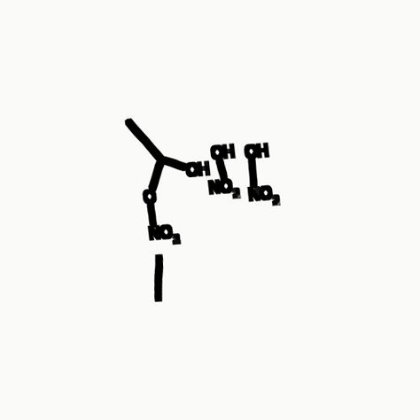 CC.CC(O)O[N+](=O)[O-].O=[N+]([O-])O.O=[N+]([O-])O